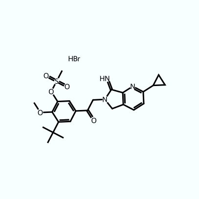 Br.COc1c(OS(C)(=O)=O)cc(C(=O)CN2Cc3ccc(C4CC4)nc3C2=N)cc1C(C)(C)C